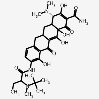 CCC(C(=O)Nc1ccc2c(c1O)C(=O)C1=C(O)C3(O)C(=O)C(C(N)=O)=C(O)[C@@H](N(C)C)C3CC1C2)N(C)C(C)(C)C